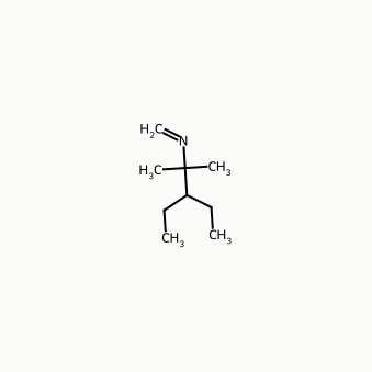 C=NC(C)(C)C(CC)CC